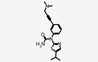 CC(C)c1cnc(N(C(N)=O)c2cccc(C#CCN(C)C)c2)s1